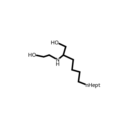 CCCCCCCCCCCC(CO)NCCO